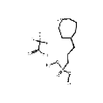 CCOP(=O)(CCCC1CCCNCC1)OCC.O=C(O)C(F)(F)F